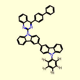 [2H]c1c([2H])c([2H])c(-n2c3ccccc3c3cc(-c4ccc5c(c4)c4ccccc4n5-c4nc(-c5ccc(-c6ccccc6)cc5)c5ccccc5n4)ccc32)c([2H])c1[2H]